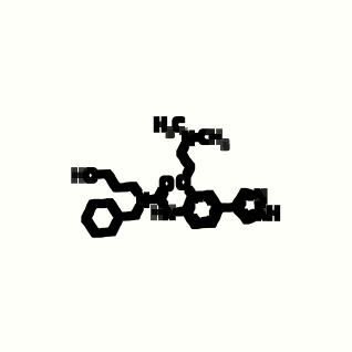 CN(C)CCOc1cc(-c2cn[nH]c2)ccc1NC(=O)N(CCCO)CC1CCCCC1